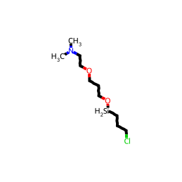 CN(C)CCOCCCO[SiH2]CCCCl